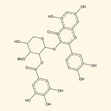 COC1C(O)COC(Oc2c(-c3ccc(O)c(O)c3)oc3cc(O)cc(O)c3c2=O)C1OC(=O)c1cc(O)c(O)c(O)c1